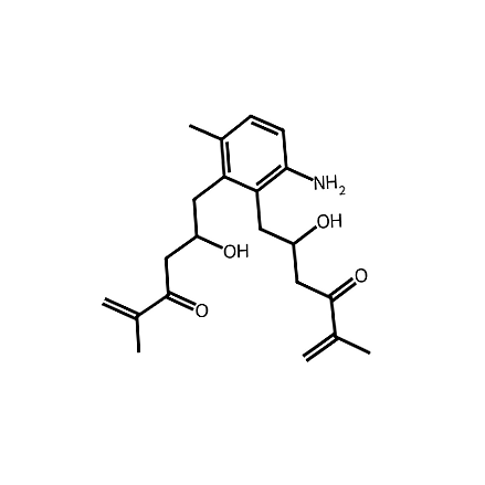 C=C(C)C(=O)CC(O)Cc1c(C)ccc(N)c1CC(O)CC(=O)C(=C)C